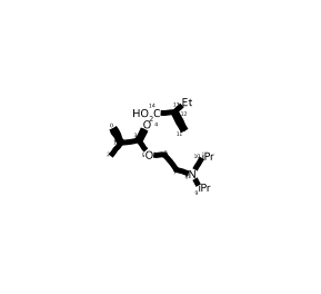 C=C(C)C(=O)OCCN(C(C)C)C(C)C.C=C(CC)C(=O)O